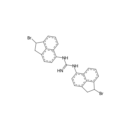 N=C(Nc1ccc2c3c(cccc13)C(Br)C2)Nc1ccc2c3c(cccc13)C(Br)C2